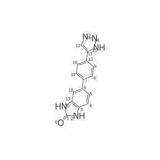 O=c1[nH]c2ccc(-c3ccc(-c4cnn[nH]4)cc3)cc2[nH]1